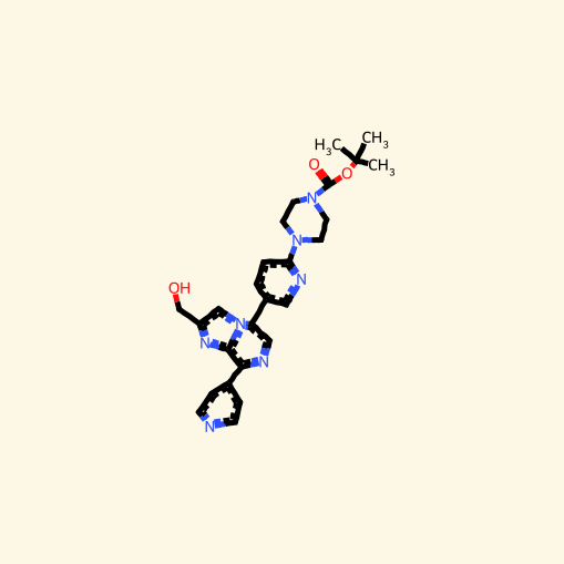 CC(C)(C)OC(=O)N1CCN(c2ccc(-c3cnc(-c4ccncc4)c4nc(CO)cn34)cn2)CC1